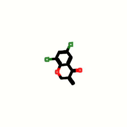 C=C1COc2c(Cl)cc(Cl)cc2C1=O